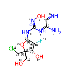 N=C/C(N)=N\C(=N/O)N[C@@H]1O[C@@](CO)(CCl)[C@@H](O)[C@H]1F